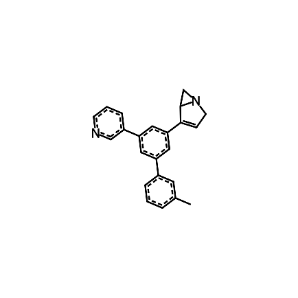 Cc1cccc(-c2cc(C3=CCN4CC34)cc(-c3cccnc3)c2)c1